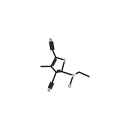 CC[S+]([O-])c1sc(C#N)c(C)c1C#N